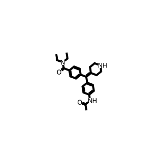 CCN(CC)C(=O)c1ccc(C(=C2CCNCC2)c2ccc(NC(C)=O)cc2)cc1